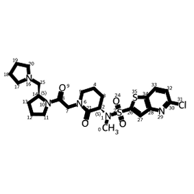 CN([C@H]1CCCN(CC(=O)N2CCC[C@H]2CN2CCCC2)C1=O)S(=O)(=O)c1cc2nc(Cl)ccc2s1